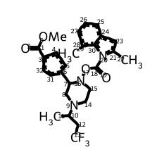 COC(=O)c1ccc(C2CN(C(C)CC(F)(F)F)CCN2OC(=O)n2c(C)cc3cccc(C)c32)cc1